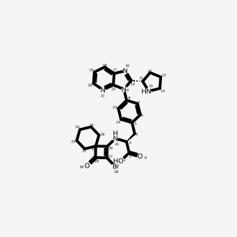 O=C(O)[C@H](Cc1ccc(-n2c([C@@H]3CCCN3)nc3cccnc32)cc1)NC1=C(Br)C(=O)C12CCCCC2